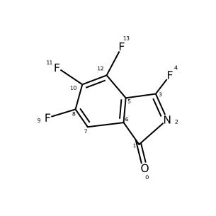 O=C1N=C(F)c2c1cc(F)c(F)c2F